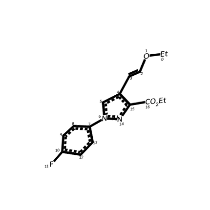 CCO/C=C/c1cn(-c2ccc(F)cc2)nc1C(=O)OCC